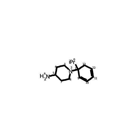 CC(C)C1(N2CCC(N)CC2)C=CC=CC1